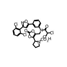 O=C(C(Cl)Cl)N(Cc1oc(=O)oc1C1CCCN1C(=O)O)c1cccc(-c2cc(-c3c(Cl)cccc3Cl)no2)c1